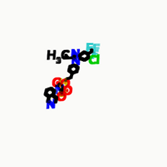 CCc1nc2cc(C(F)(F)F)c(Cl)cc2n1-c1ccc(CCOC(=O)N(c2cccc3cnccc23)[SH](=O)=O)cc1